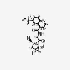 CC(C)(F)c1ccc2nccc(C(=O)NCC(=O)N3[C@H](C#N)C[C@@H]4C[C@@H]43)c2c1